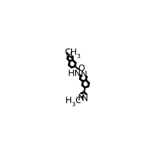 Cn1cc2ccc(C(=O)Nc3cc4cc(-c5cnn(C)c5)ccc4cn3)cc2c1